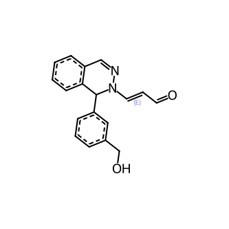 O=C/C=C/N1N=Cc2ccccc2C1c1cccc(CO)c1